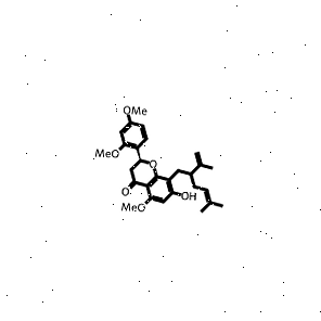 C=C(C)C(CC=C(C)C)Cc1c(O)cc(OC)c2c1O[C@H](c1ccc(OC)cc1OC)CC2=O